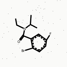 CCN(C(=O)c1cc(F)ccc1Br)C(C)C